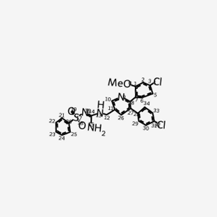 COc1cc(Cl)ccc1-c1ncc(CN/C(N)=N/S(=O)(=O)c2ccccc2)cc1-c1ccc(Cl)cc1